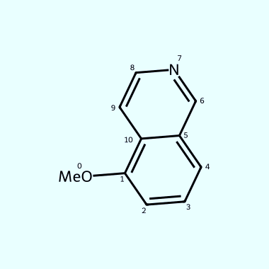 [CH2]Oc1cccc2cnccc12